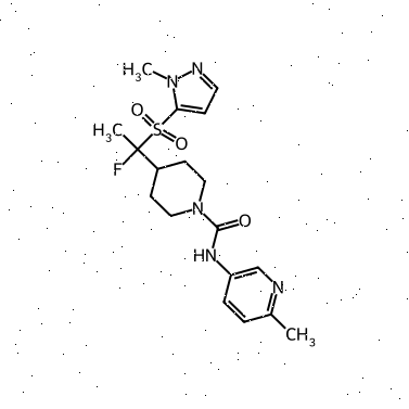 Cc1ccc(NC(=O)N2CCC(C(C)(F)S(=O)(=O)c3ccnn3C)CC2)cn1